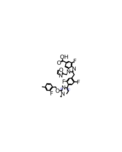 C=N/C(=N\C(=C/C)c1cc(F)c(Cc2nc3c(F)cc(C(=O)O)cc3n2Cc2ncco2)cc1F)OCc1ccc(C)cc1F